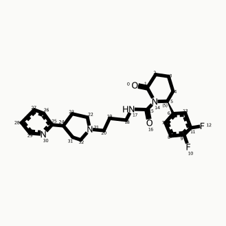 O=C1CCC[C@@H](c2ccc(F)c(F)c2)N1C(=O)NCCCN1CCC(c2ccccn2)CC1